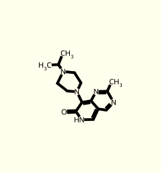 Cc1ncc2c[nH]c(=O)c(N3CCN(C(C)C)CC3)c2n1